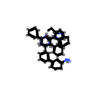 CCc1nc2ccccc2n1-c1ccccc1-c1ccccc1-c1ccccc1-c1nc(-c2ccccc2)nc(-c2cccc(-c3cccc(N)c3)c2)n1